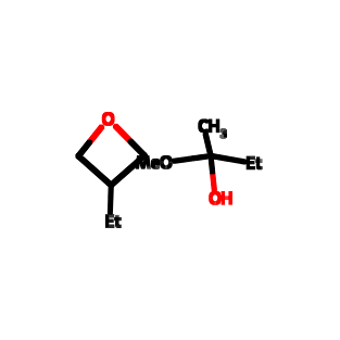 CCC(C)(O)OC.CCC1COC1